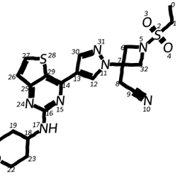 CCS(=O)(=O)N1CC(CC#N)(n2cc(-c3nc(NC4CCOCC4)nc4ccsc34)cn2)C1